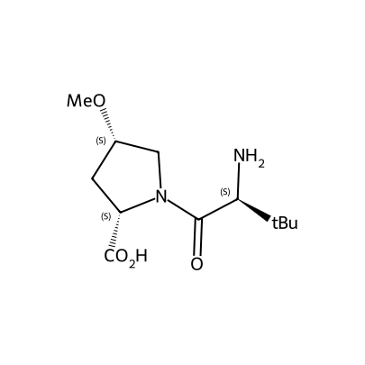 CO[C@H]1C[C@@H](C(=O)O)N(C(=O)[C@@H](N)C(C)(C)C)C1